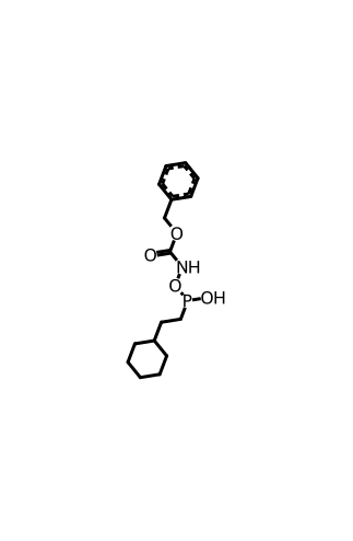 O=C(NOP(O)CCC1CCCCC1)OCc1ccccc1